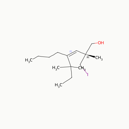 CCCC/C(=C/[C@](C)(CO)CI)C(C)(C)CC